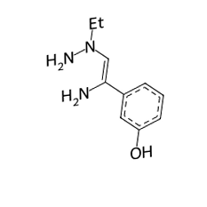 CCN(N)/C=C(\N)c1cccc(O)c1